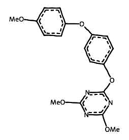 COc1ccc(Oc2ccc(Oc3nc(OC)nc(OC)n3)cc2)cc1